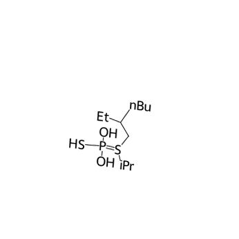 CCCCC(CC)CS(C(C)C)=P(O)(O)S